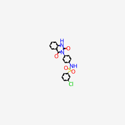 O=c1[nH]c2ccccc2c(=O)n1-c1ccc(NS(=O)(=O)c2cccc(Cl)c2)cc1